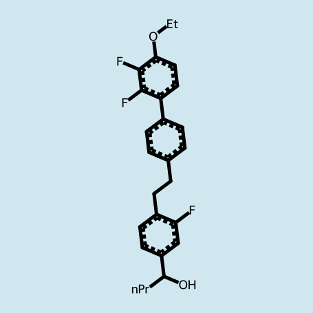 CCCC(O)c1ccc(CCc2ccc(-c3ccc(OCC)c(F)c3F)cc2)c(F)c1